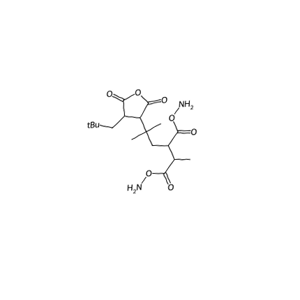 CC(C(=O)ON)C(CC(C)(C)C1C(=O)OC(=O)C1CC(C)(C)C)C(=O)ON